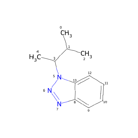 CC(C)C(C)n1nnc2ccccc21